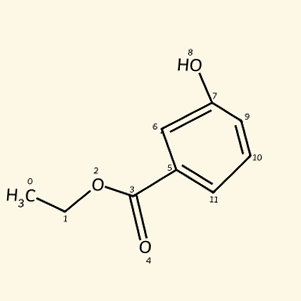 CCOC(=O)c1[c]c(O)ccc1